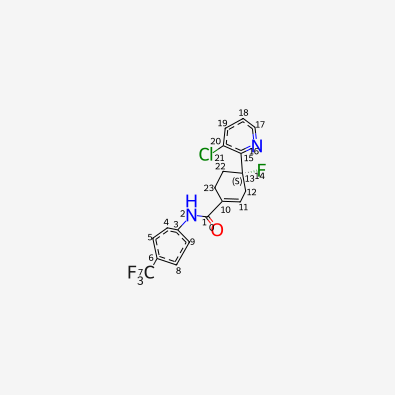 O=C(Nc1ccc(C(F)(F)F)cc1)C1=CC[C@](F)(c2ncccc2Cl)CC1